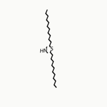 CCCCCCCCCCCCSCCCCCCCCCCCC.CNC